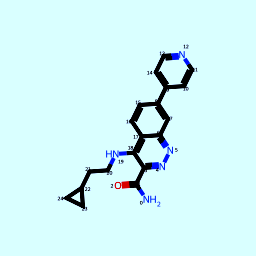 NC(=O)c1nnc2cc(-c3ccncc3)ccc2c1NCCC1CC1